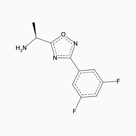 C[C@H](N)c1nc(-c2cc(F)cc(F)c2)no1